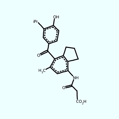 Cc1cc(NC(=O)CC(=O)O)c2c(c1C(=O)c1ccc(O)c(C(C)C)c1)CCC2